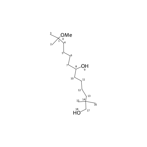 COC(C)(C)CCCCC(O)CCCCC(C)(C)CO